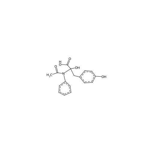 CC(=O)N(c1ccccc1)C(O)(Cc1ccc(O)cc1)C(=O)O